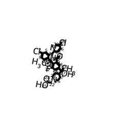 CO[C@]1(c2ccc(Cl)cc2)c2c(F)cc(C(C)(O)C3CCN(CC(=O)O)CC3)cc2C(=O)N1Cc1ccc(Cl)cn1